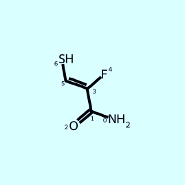 NC(=O)C(F)=CS